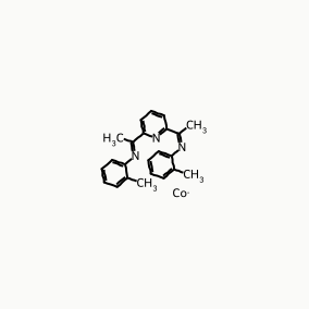 CC(=Nc1ccccc1C)c1cccc(C(C)=Nc2ccccc2C)n1.[Co]